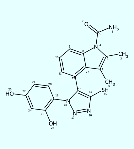 Cc1c(C)n(C(N)=O)c2cccc(-c3c(S)nnn3-c3ccc(O)cc3O)c12